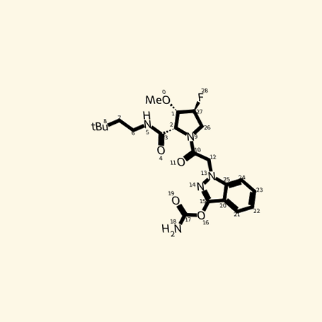 CO[C@H]1[C@@H](C(=O)NCCC(C)(C)C)N(C(=O)Cn2nc(OC(N)=O)c3ccccc32)C[C@@H]1F